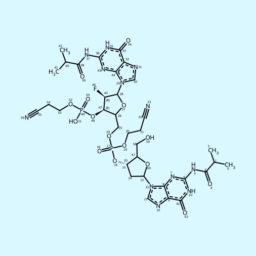 CC(C)C(=O)Nc1nc2c(ncn2C2C[C@H](OP(=O)(OCCC#N)OCC3OC(n4cnc5c(=O)[nH]c(NC(=O)C(C)C)nc54)[C@H](F)[C@@H]3OP(=O)(O)OCCC#N)C(CO)O2)c(=O)[nH]1